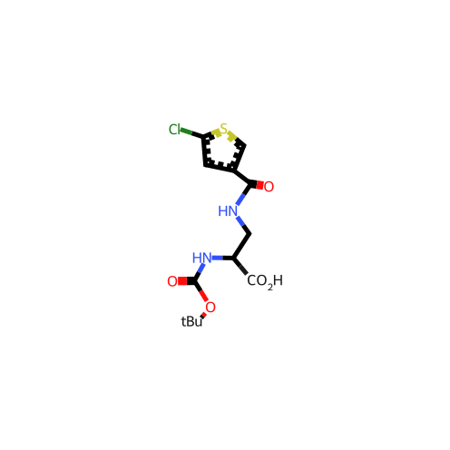 CC(C)(C)OC(=O)NC(CNC(=O)c1csc(Cl)c1)C(=O)O